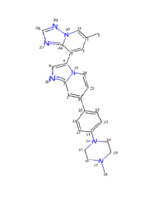 Cc1cc(-c2cnc3cc(-c4ccc(N5CCN(C)CC5)cc4)ccn23)c2ncnn2c1